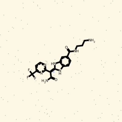 NCCCNC(=O)c1ccc2c(c1)N/C(=C(/C(N)=O)c1nccc(C(F)(F)F)n1)N2